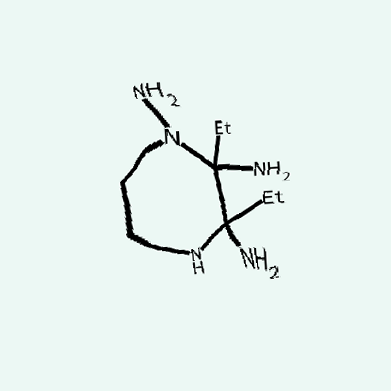 CCC1(N)NCCN(N)C1(N)CC